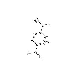 CCC(=O)c1ccc(C(C)N)cc1.Cl